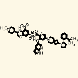 CC(C)c1ccccc1[C@@H]1CCCN1C1CC2(CCN(c3cnc(C(=O)NS(=O)(=O)c4cc5c(c([N+](=O)[O-])c4)NC(C4CCN(C)CC4)CO5)c(Oc4cnc5[nH]ccc5c4)c3)CC2)C1